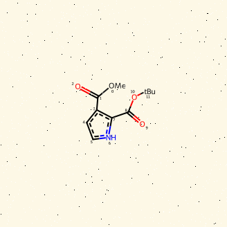 COC(=O)c1cc[nH]c1C(=O)OC(C)(C)C